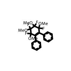 COC1(F)C(c2ccccc2)=C(c2ccccc2)C(F)(OC)C(F)(OC)C1(F)OC